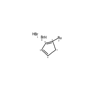 Br.Br.[Ru][C]1=CC=CC1